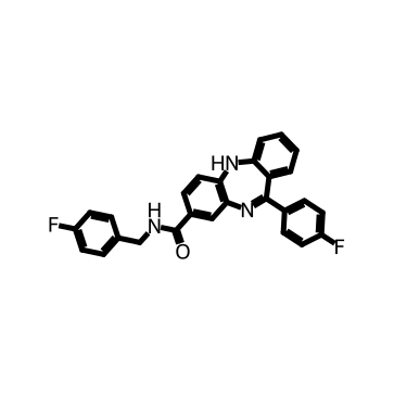 O=C(NCc1ccc(F)cc1)c1ccc2c(c1)N=C(c1ccc(F)cc1)c1ccccc1N2